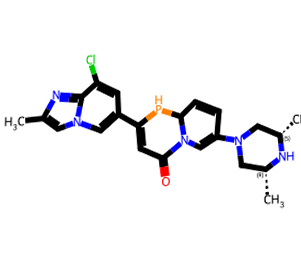 Cc1cn2cc(C3=CC(=O)N4C=C(N5C[C@@H](C)N[C@@H](C)C5)C=CC4P3)cc(Cl)c2n1